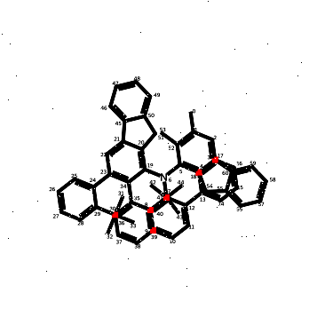 Cc1cc2c(c(N(c3ccccc3-c3ccccc3)c3c4c(cc(-c5ccccc5C(C)(C)C)c3-c3ccccc3C(C)(C)C)-c3ccccc3C4)c1C)Cc1ccccc1-2